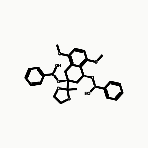 COc1ccc(OC)c2c1C[C@@](OB(O)c1ccccc1)(C1(C)OCCO1)C[C@@H]2OB(O)c1ccccc1